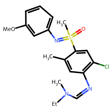 CCN(C)/C=N\c1cc(C)c(S(C)(=O)=Nc2cccc(OC)c2)cc1Cl